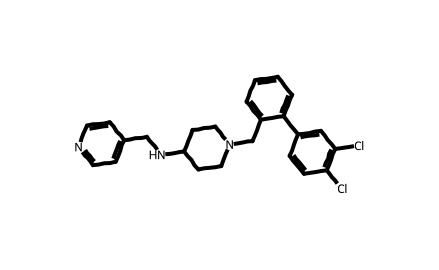 Clc1ccc(-c2ccccc2CN2CCC(NCc3ccncc3)CC2)cc1Cl